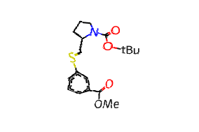 COC(=O)c1cccc(SCC2CCCN2C(=O)OC(C)(C)C)c1